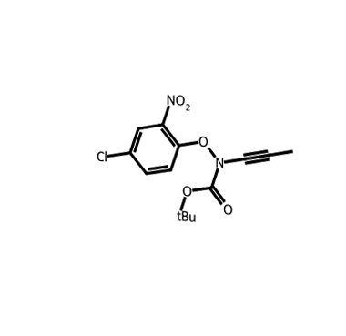 CC#CN(Oc1ccc(Cl)cc1[N+](=O)[O-])C(=O)OC(C)(C)C